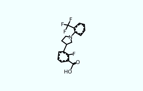 O=C(O)c1cccc(C2CCN(c3ccccc3C(F)(F)F)C2)c1F